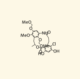 COCOc1cc2c(OCOC)c(c1OC)CC(C)OC(=O)c1c(O)cc(O)c(Cl)c1CCC(=O)N2